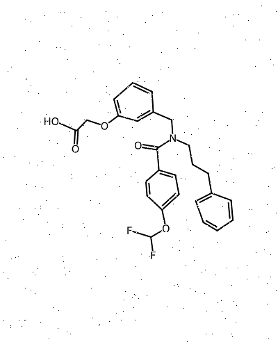 O=C(O)COc1cccc(CN(CCCc2ccccc2)C(=O)c2ccc(OC(F)F)cc2)c1